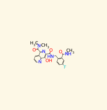 CNC(=O)c1cc(F)ccc1CNC(=O)c1nc(C(=O)N(C)C)c2cccnc2c1O